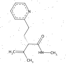 C=C(C)[C@H](CCc1ccccn1)C(=O)NC